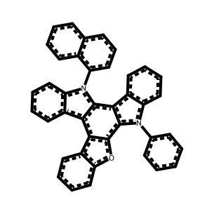 c1ccc(-n2c3ccccc3c3c2c2oc4ccccc4c2c2c4ccccc4n(-c4cccc5ccccc45)c23)cc1